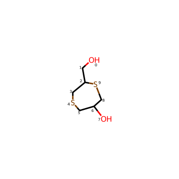 OCC1CSCC(O)CS1